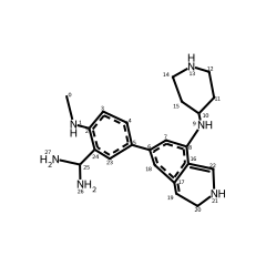 CNc1ccc(-c2cc(NC3CCNCC3)c3c(c2)=CCNC=3)cc1C(N)N